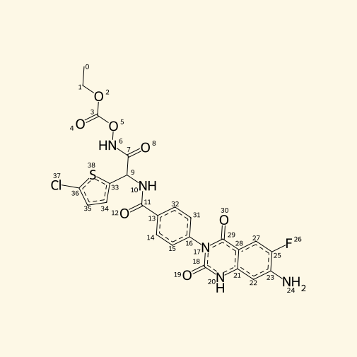 CCOC(=O)ONC(=O)C(NC(=O)c1ccc(-n2c(=O)[nH]c3cc(N)c(F)cc3c2=O)cc1)c1ccc(Cl)s1